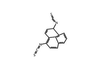 S=C=Nc1ccc2cccc3c2c1C=CC3N=C=S